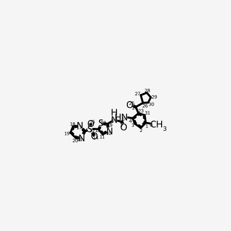 Cc1ccc(NC(=O)Nc2ncc(S(=O)(=O)c3ncccn3)s2)c(C(=O)C2CCCC2)c1